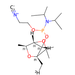 [2H]C[C@]12O[C@@H](C)[C@H](OC1(C)C)[C@@H]2OP(OCC[N+]#[C-])N(C(C)C)C(C)C